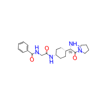 N[C@H](C(=O)N1CCCC1)[C@H]1CC[C@@H](NC(=O)CNC(=O)c2ccccc2)CC1